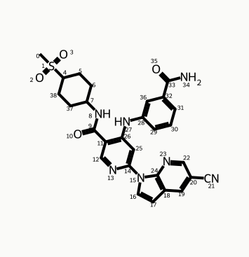 CS(=O)(=O)C1CCC(NC(=O)c2cnc(-n3ccc4cc(C#N)cnc43)cc2Nc2cccc(C(N)=O)c2)CC1